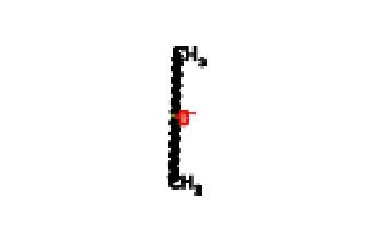 CCCCCCCCCCCC[S+]([O-])CCCCCCCCCCCC